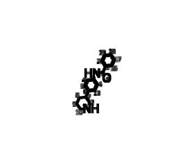 O=C(Nc1ccc(C2CCCNC2)cc1)c1ccccc1